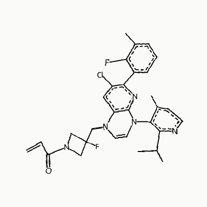 C=CC(=O)N1CC(F)(CN2C=CN(c3c(C)ccnc3C(C)C)c3nc(-c4cccc(C)c4F)c(Cl)cc32)C1